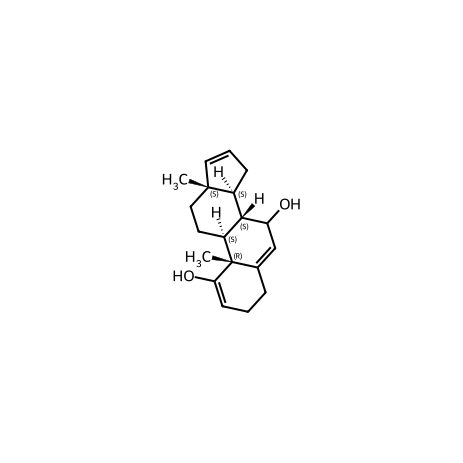 C[C@]12C(O)=CCCC1=CC(O)[C@@H]1[C@@H]2CC[C@]2(C)C=CC[C@@H]12